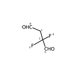 O=[C]CC(F)(F)C=O